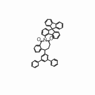 O=C1CCC(c2cc(-c3ccccc3)cc(-c3ccccc3)c2)c2ccccc2C(=O)N1c1cccc2c1-c1ccccc1C21c2ccccc2-c2ccccc21